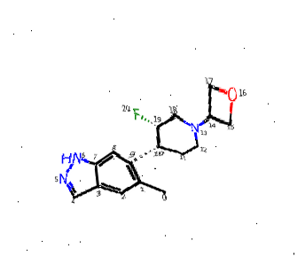 Cc1cc2cn[nH]c2cc1[C@H]1CCN(C2COC2)C[C@H]1F